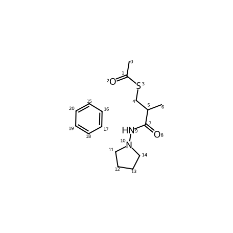 CC(=O)SCC(C)C(=O)NN1CCCC1.c1ccccc1